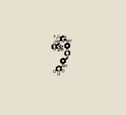 CN(c1nccnc1CNc1nc(Nc2ccc(N3CCN(Cc4cccc(NC5CCC(=O)NC5=O)c4)CC3)cc2)ncc1C(F)(F)F)S(C)(=O)=O